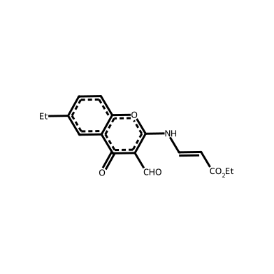 CCOC(=O)C=CNc1oc2ccc(CC)cc2c(=O)c1C=O